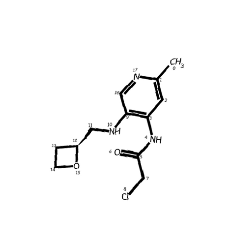 Cc1cc(NC(=O)CCl)c(NC[C@@H]2CCO2)cn1